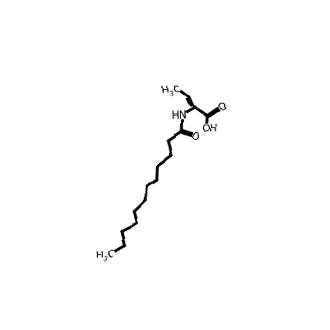 CC=C(NC(=O)CCCCCCCCCCC)C(=O)O